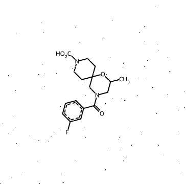 CC1CN(C(=O)c2cccc(F)c2)CC2(CCN(C(=O)O)CC2)O1